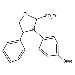 CCOC(=O)C1OCC(c2ccccc2)N1c1ccc(OC)cc1